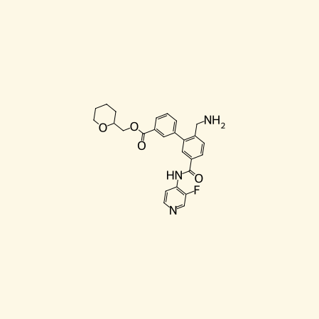 NCc1ccc(C(=O)Nc2ccncc2F)cc1-c1cccc(C(=O)OCC2CCCCO2)c1